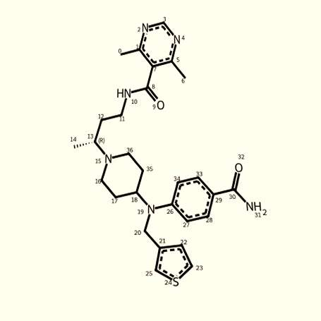 Cc1ncnc(C)c1C(=O)NCC[C@@H](C)N1CCC(N(Cc2ccsc2)c2ccc(C(N)=O)cc2)CC1